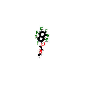 C=COCCOc1c(F)c(F)c2c(F)c(F)c(F)c(F)c2c1F